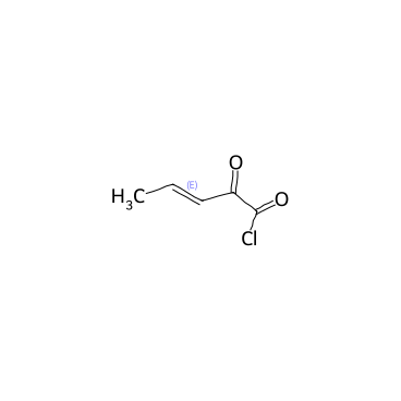 C/C=C/C(=O)C(=O)Cl